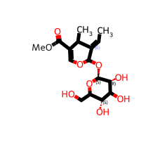 C/C=C1/C(O[C@@H]2OC(CO)[C@@H](O)C(O)[C@H]2O)OC=C(C(=O)OC)C1C